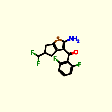 Nc1sc2c(c1C(=O)c1c(F)cccc1F)CC(C(F)F)C2